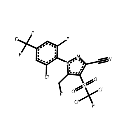 N#Cc1nn(-c2c(F)cc(C(F)(F)F)cc2Cl)c(CF)c1S(=O)(=O)C(F)(Cl)Cl